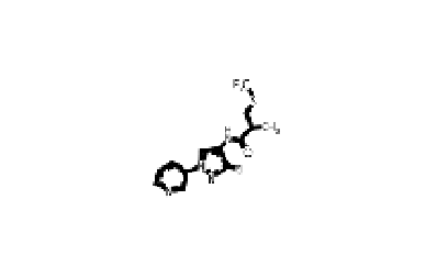 CC(CSC(F)(F)F)C(=O)Nc1cn(-c2cccnc2)nc1Cl